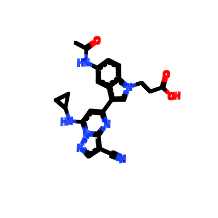 CC(=O)Nc1ccc2c(c1)c(-c1cc(NC3CC3)n3ncc(C#N)c3n1)cn2CCC(=O)O